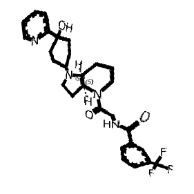 O=C(NCC(=O)N1CCC[C@H]2[C@@H]1CCN2C1CCC(O)(c2ccccn2)CC1)c1cccc(C(F)(F)F)c1